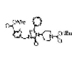 COC(=O)c1ccc(Cn2cc(-c3ccccc3)n(C3CCN(C(=O)OC(C)(C)C)CC3)c2=O)s1